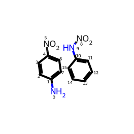 Nc1ccc([N+](=O)[O-])cc1.O=[N+]([O-])Nc1ccccc1